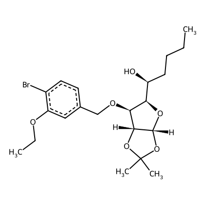 CCCC[C@H](O)[C@H]1O[C@@H]2OC(C)(C)O[C@@H]2[C@H]1OCc1ccc(Br)c(OCC)c1